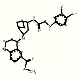 COC(=O)c1ccc2c(c1)C(NC1CC(NC(=O)COc3ccc(Cl)c(F)c3)C3CC1C3)CCN2